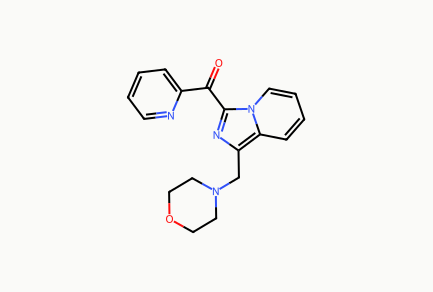 O=C(c1ccccn1)c1nc(CN2CCOCC2)c2ccccn12